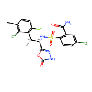 Cc1ccc(F)c([C@@H](C)[C@H](NS(=O)(=O)c2ccc(Cl)cc2C(N)=O)c2n[nH]c(=O)o2)c1Cl